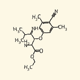 CCOC(=O)C(N)C(Oc1cc(C)c(C#N)c(C)c1)C(=N)C(C)C